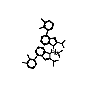 Cc1cccc(-c2cccc3c2C=C(C(C)C)[CH]3[Hf]([CH]2C(C(C)C)=Cc3c(-c4cccc(C)c4C)cccc32)[SiH](C)C)c1C